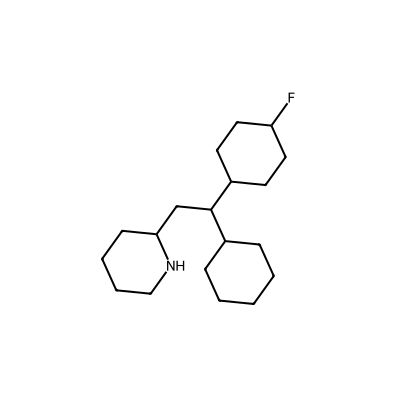 FC1CCC(C(CC2CCCCN2)C2CCCCC2)CC1